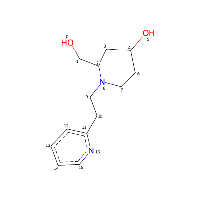 OCC1CC(O)CCN1CCc1ccccn1